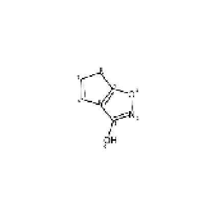 Oc1noc2c1C=C[C]2